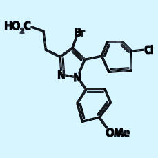 COc1ccc(-n2nc(CCC(=O)O)c(Br)c2-c2ccc(Cl)cc2)cc1